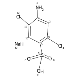 Nc1cc(Cl)c(S(=O)(=O)O)cc1Cl.[NaH]